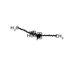 CCCCCCCCCCCCCCCC(=O)C(O)[C@H]1O[C@@H](n2cc(F)c(=O)n(C(=O)CCCCCCCCCCCCCCC)c2=O)C[C@@H]1O